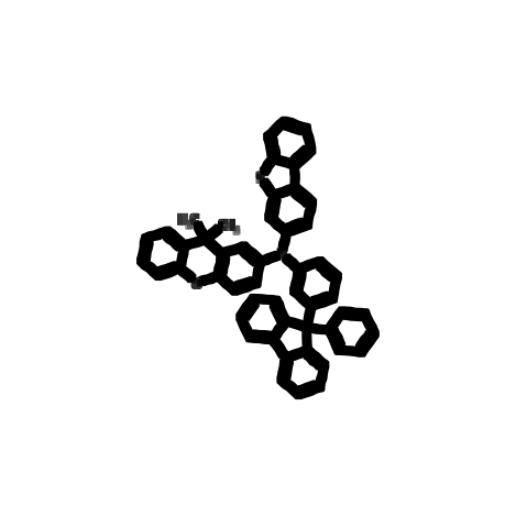 CC1(C)c2ccccc2Oc2ccc(N(c3cccc(C4(c5ccccc5)c5ccccc5-c5ccccc54)c3)c3ccc4c(c3)sc3ccccc34)cc21